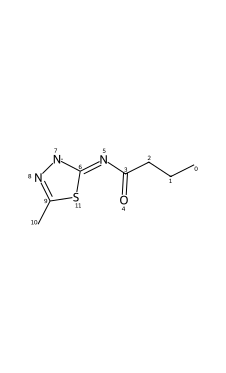 CCCC(=O)N=C1[N]N=C(C)S1